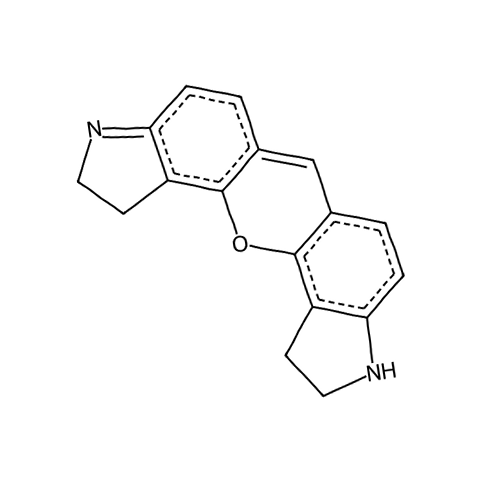 C1=c2ccc3c(c2Oc2c1ccc1c2CCN1)CCN=3